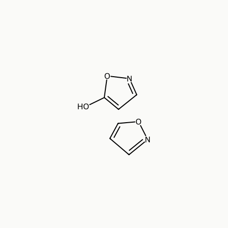 Oc1ccno1.c1cnoc1